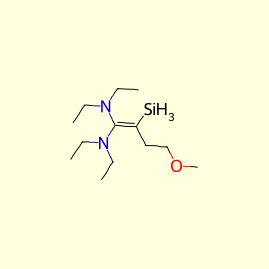 CCN(CC)C(=C([SiH3])CCOC)N(CC)CC